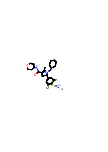 Cc1c(C(=O)NC2CCOCC2)cc(-c2cc(Cl)c(SNC(C)(C)C)c(Cl)c2)n1CC1CCCCC1